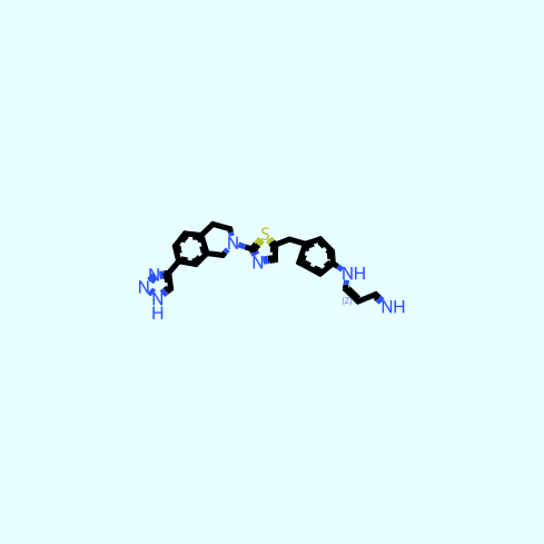 N=C/C=C\Nc1ccc(Cc2cnc(N3CCc4ccc(-c5c[nH]nn5)cc4C3)s2)cc1